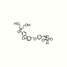 Cc1cc(C(=O)N(CCO)CCO)ccc1-c1cccc(COc2ccc(Cn3oc(=O)[nH]c3=O)cc2)c1